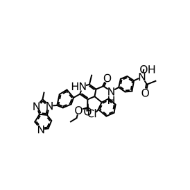 CCOC(=O)C1=C(c2ccc(-n3c(C)nc4cnccc43)cc2)NC(C)=C(C(=O)Nc2ccc(N(O)C(C)=O)cc2)C1c1ccccc1Cl